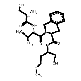 CSCCC(CO)NC(=O)C1Cc2ccccc2CN1C(=O)[C@@H](NC(=O)[C@@H](N)CS)C(C)C